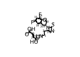 NCCC1=C[N]C(=S)N1[C@H]1COc2c(F)cc(F)cc2C1.O=C(O)/C=C/C(=O)O